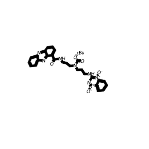 CC(C)(C)OC(=O)N(CCCNC(=O)c1cccc2nc3ccccc3nc12)CCCNc1n[n+]([O-])c2ccccc2[n+]1[O-]